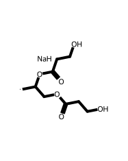 [CH2]C(COC(=O)CCO)OC(=O)CCO.[NaH]